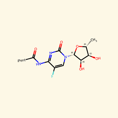 CCCC(C)C(=O)Nc1nc(=O)n([C@@H]2O[C@H](C)[C@@H](O)[C@H]2O)cc1F